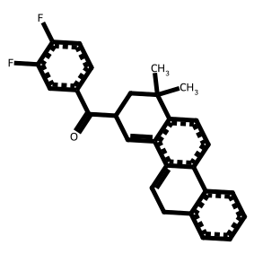 CC1(C)CC(C(=O)c2ccc(F)c(F)c2)C=c2c1ccc1c2=CCc2ccccc2-1